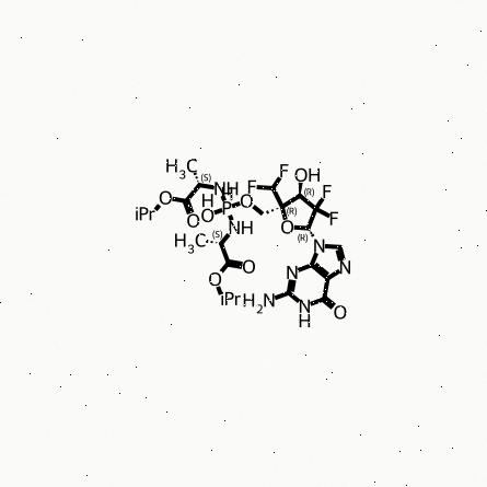 CC(C)OC(=O)[C@H](C)N[PH](O)(N[C@@H](C)C(=O)OC(C)C)OC[C@@]1(C(F)F)O[C@@H](n2cnc3c(=O)[nH]c(N)nc32)C(F)(F)[C@@H]1O